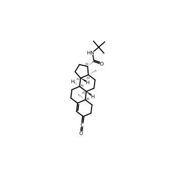 CC(C)(C)NC(=O)[C@H]1CC[C@H]2[C@@H]3CCC4=CC(=C=O)CC[C@]4(C)[C@H]3CC[C@]12C